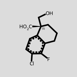 O=C(O)[C@@]1(CO)CCCc2c1ccc(Cl)c2F